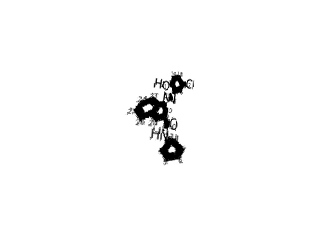 O=C(Nc1ccccc1)c1cc(N=Nc2cc(Cl)ccc2O)c2ccccc2c1